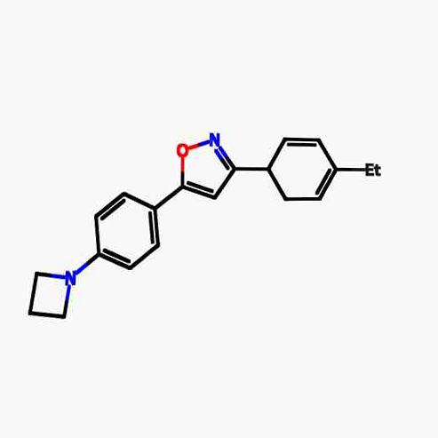 CCC1=CCC(c2cc(-c3ccc(N4CCC4)cc3)on2)C=C1